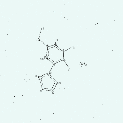 CSc1nc(C)c(C)c(-c2cccs2)n1.N